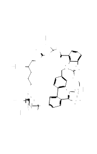 CCOc1nc2cccc(C(=O)OC(C)OC(=O)OCC(C)CCCO/N=[N+](\O)N(C)C(C)(C)C)c2n1Cc1ccc(-c2ccccc2-c2nnn[nH]2)cc1